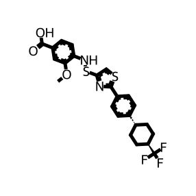 COc1cc(C(=O)O)ccc1NSc1csc(-c2ccc([C@H]3CC[C@H](C(F)(F)F)CC3)cc2)n1